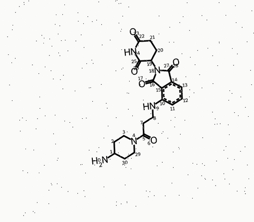 NC1CCN(C(=O)CCNc2cccc3c2C(=O)N(C2CCC(=O)NC2=O)C3=O)CC1